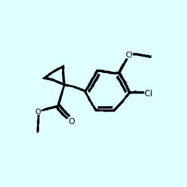 COC(=O)C1(c2ccc(Cl)c(OC)c2)CC1